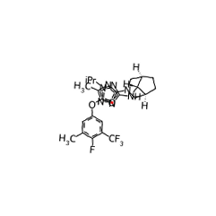 Cc1noc(N2C[C@H]3CC[C@@H](C2)[C@@H]3Nc2nc(Oc3cc(C)c(F)c(C(F)(F)F)c3)n(C(C)C)n2)n1